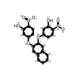 O=[N+]([O-])c1ccc(Oc2cc3ccccc3cc2Oc2ccc([N+](=O)[O-])c(O)c2)cc1O